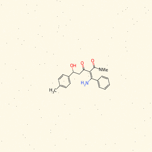 CNC(=O)C(C(=O)CC(O)c1ccc(C)cc1)=C(N)c1ccccc1